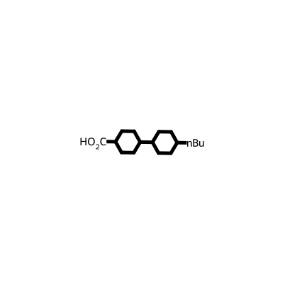 CCCCC1CCC(C2CCC(C(=O)O)CC2)CC1